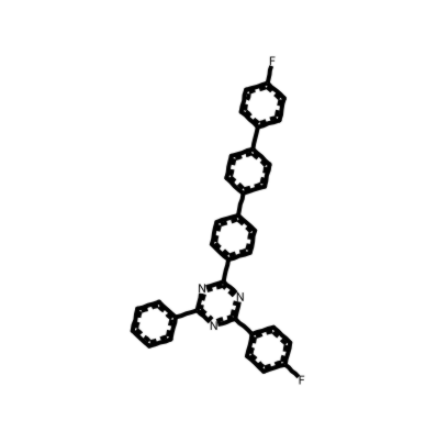 Fc1ccc(-c2ccc(-c3ccc(-c4nc(-c5ccccc5)nc(-c5ccc(F)cc5)n4)cc3)cc2)cc1